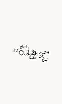 COc1cc(CNc2ncnc3c2ncn3[C@H]2C[C@@H](O)[C@@H](CO)O2)ccc1O